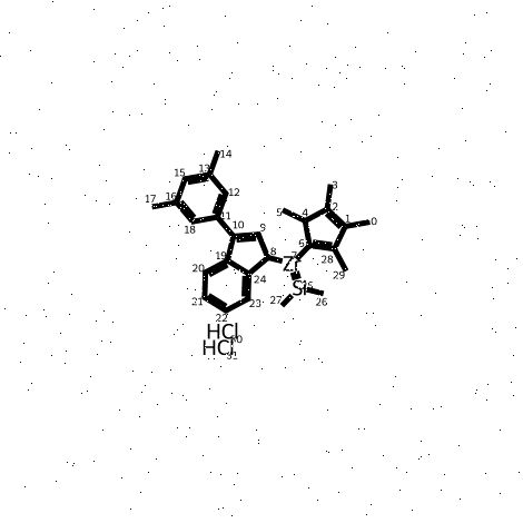 CC1=C(C)C(C)[C]([Zr]([CH]2C=C(c3cc(C)cc(C)c3)c3ccccc32)=[Si](C)C)=C1C.Cl.Cl